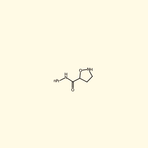 CCCNC(=O)C1CCNO1